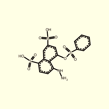 NNc1ccc(S(=O)(=O)O)c2cc(S(=O)(=O)O)cc(OS(=O)(=O)c3ccccc3)c12